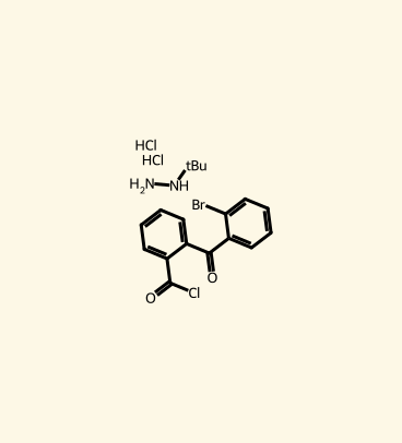 CC(C)(C)NN.Cl.Cl.O=C(Cl)c1ccccc1C(=O)c1ccccc1Br